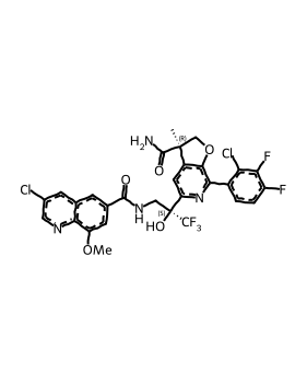 COc1cc(C(=O)NC[C@](O)(c2cc3c(c(-c4ccc(F)c(F)c4Cl)n2)OC[C@]3(C)C(N)=O)C(F)(F)F)cc2cc(Cl)cnc12